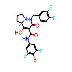 C[C@]12CCCN1N(Cc1ccc(F)c(F)c1)C(=O)C(C(=O)Nc1cc(F)c(Br)c(F)c1)=C2O